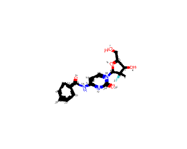 CC1(F)C(O)C(CO)OC1n1ccc(NC(=O)c2ccccc2)nc1=O